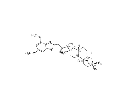 CC[C@]12CC[C@@](C)(O)C[C@@H]1CC[C@H]1[C@@H]3CC[C@H](C(=O)Cn4nc5cc(OC)cc(OC)c5n4)[C@@]3(C)CC[C@@H]12